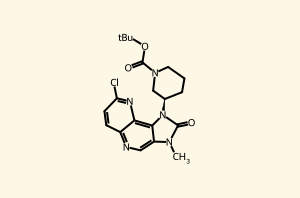 Cn1c(=O)n([C@@H]2CCCN(C(=O)OC(C)(C)C)C2)c2c3nc(Cl)ccc3ncc21